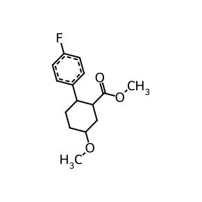 COC(=O)C1CC(OC)CCC1c1ccc(F)cc1